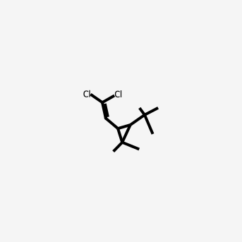 CC(C)(C)C1C(C=C(Cl)Cl)C1(C)C